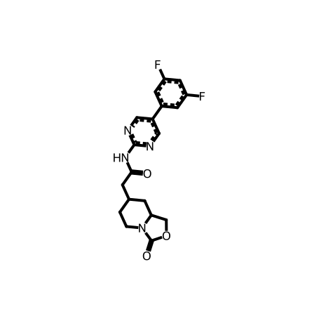 O=C(CC1CCN2C(=O)OCC2C1)Nc1ncc(-c2cc(F)cc(F)c2)cn1